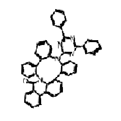 O=c1c2ccccc2c2cccc3c2n1-c1ccccc1-c1ccccc1N(c1nc(-c2ccccc2)nc(-c2ccccc2)n1)c1ccccc1-3